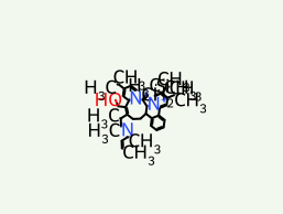 C=C1C2C(CC/C([C@H](C)C(C)/N=C(C)\C=C/C)=C(/CO)c3cc(C(C)C)cc[n+]31)c1ccccc1-c1cc(C(C)C)c([Si](C)(C)C)c[n+]12